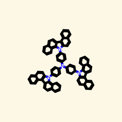 C1=CC(n2c3ccc4ccccc4c3c3ccc4ccccc4c32)CC=C1N(c1ccc(-n2c3ccc4ccccc4c3c3ccc4ccccc4c32)cc1)c1ccc(-n2c3ccc4ccccc4c3c3ccc4ccccc4c32)cc1